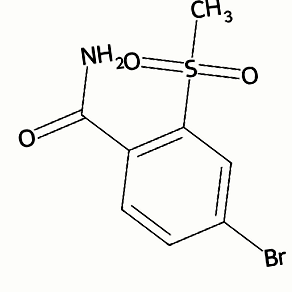 CS(=O)(=O)c1cc(Br)ccc1C(N)=O